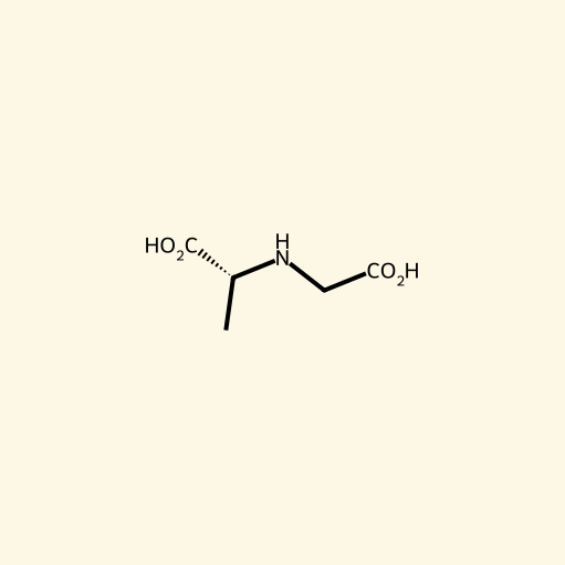 C[C@@H](NCC(=O)O)C(=O)O